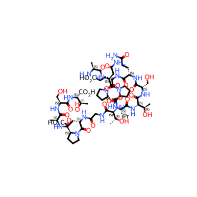 CC(C)[C@H](NC(=O)[C@@H]1CCCN1C(=O)[C@H](CC(N)=O)NC(=O)[C@H](C)N)C(=O)N[C@H](C(=O)N[C@@H](CO)C(=O)N[C@@H](CCC(N)=O)C(=O)N[C@@H](CCC(=O)O)C(=O)N1CCC[C@H]1C(=O)N[C@H](C(=O)NCC(=O)N[C@@H](CCC(=O)O)C(=O)N1CCC[C@H]1C(=O)N[C@@H](C)C(=O)N[C@@H](CO)C(=O)N[C@H](C(=O)O)[C@@H](C)O)[C@@H](C)O)[C@@H](C)O